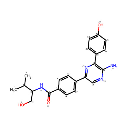 CC(C)C(CO)NC(=O)c1ccc(-c2cnc(N)c(-c3ccc(O)cc3)n2)cc1